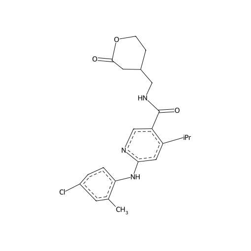 Cc1cc(Cl)ccc1Nc1cc(C(C)C)c(C(=O)NCC2CCOC(=O)C2)cn1